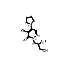 O=c1c(Cl)c(N2C[CH]CC2)cnn1CC(O)CO